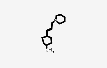 C[C]1CCC(C=CCN2CCCCC2)CC1